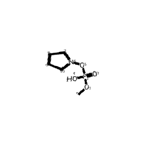 COP(=O)(O)ON1CCCC1